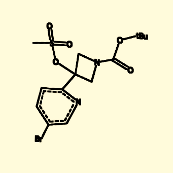 CC(C)(C)OC(=O)N1CC(OS(C)(=O)=O)(c2ccc(Br)cn2)C1